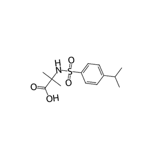 CC(C)c1ccc(S(=O)(=O)NC(C)(C)C(=O)O)cc1